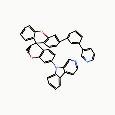 c1cncc(-c2cccc(-c3ccc4c(c3)Oc3ccccc3C43c4ccccc4Oc4cc(-n5c6ccccc6c6ccncc65)ccc43)c2)c1